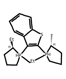 CC[C@@H]1CCC[PH]1(C)c1c([PH]2(CC)CCC[C@H]2C)sc2ccccc12